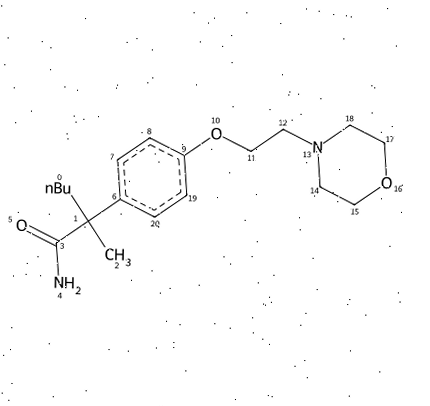 CCCCC(C)(C(N)=O)c1ccc(OCCN2CCOCC2)cc1